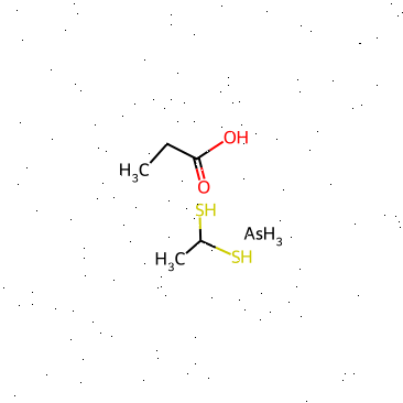 CC(S)S.CCC(=O)O.[AsH3]